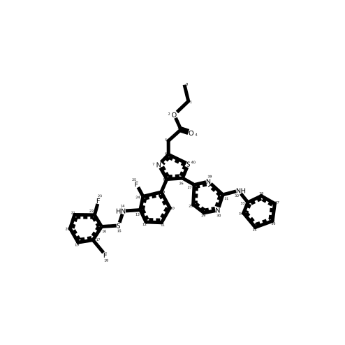 CCOC(=O)Cc1nc(-c2cccc(NSc3c(F)cccc3F)c2F)c(-c2ccnc(Nc3ccccc3)n2)s1